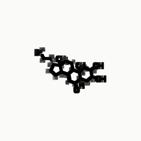 CC12CCC3C(=CC(=O)[C@@H]4CC(O)C(O)CC34C)C1CC[C@@H]2CCBr